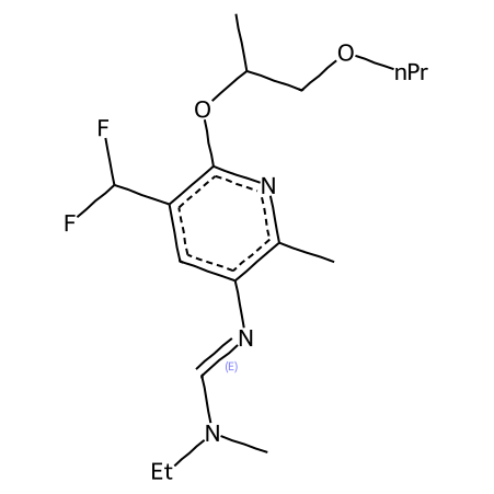 CCCOCC(C)Oc1nc(C)c(/N=C/N(C)CC)cc1C(F)F